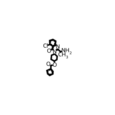 C[C@H](N)c1nc2cccc(Cl)c2c(=O)n1C1CCC(OC(=O)c2ccccc2)CC1